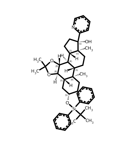 CC1(C)O[C@H]2[C@H](O1)[C@H]1C[C@@H](O[Si](c3ccccc3)(c3ccccc3)C(C)(C)C)CC[C@]1(C)[C@H]1CC[C@@]3(C)[C@@H](CC[C@@]3(O)c3ccccn3)[C@H]21